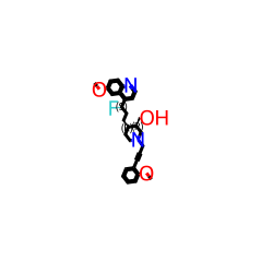 COc1ccc2nccc([C@@H](F)CC[C@@H]3CCN(CC#Cc4ccccc4OC)C[C@@H]3CO)c2c1